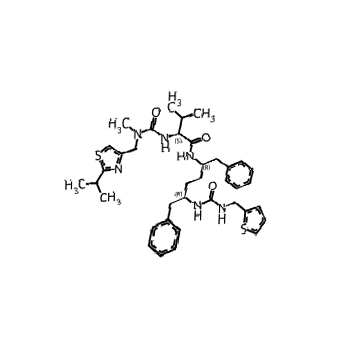 CC(C)c1nc(CN(C)C(=O)N[C@H](C(=O)N[C@H](CC[C@H](Cc2ccccc2)NC(=O)NCc2cccs2)Cc2ccccc2)C(C)C)cs1